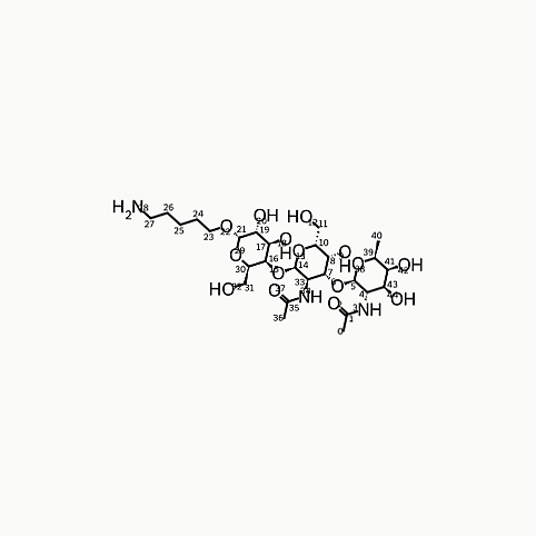 CC(=O)N[C@@H]1[C@@H](O[C@H]2[C@@H](O)[C@@H](CO)O[C@H](O[C@@H]3[C@H](O)[C@@H](O)[C@@H](OCCCCCN)O[C@@H]3CO)[C@@H]2NC(C)=O)O[C@@H](C)[C@@H](O)[C@H]1O